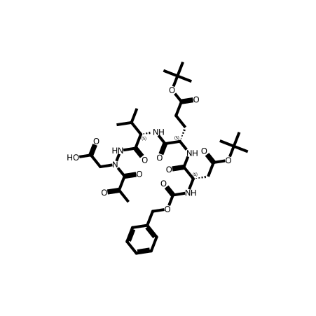 CC(=O)C(=O)N(CC(=O)O)NC(=O)[C@@H](NC(=O)[C@H](CCC(=O)OC(C)(C)C)NC(=O)[C@H](CC(=O)OC(C)(C)C)NC(=O)OCc1ccccc1)C(C)C